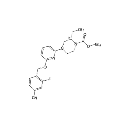 CC(C)(C)OC(=O)N1CCN(c2cccc(OCc3ccc(C#N)cc3F)n2)C[C@@H]1CO